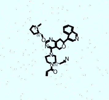 C=CC(=O)N1CCN(c2nc(OC[C@@H]3CCCN3C)nc3c2COC(c2cncc4ccccc24)C3)C[C@@H]1CC#N